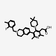 Cc1cccc(CN2CCc3cc(-c4c(C)nc(C)c(CC(=O)O)c4N4CCC(C)(C)CC4)ccc3C2)c1F